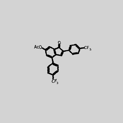 CC(=O)Oc1cc2c(c(-c3ccc(C(F)(F)F)cc3)c1)C=C(c1ccc(C(F)(F)F)cc1)C2=O